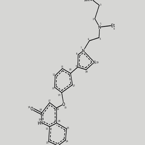 CCN(CCOC)CCn1cc(-c2cccc(Oc3cc(=O)[nH]c4ccccc34)c2)cn1